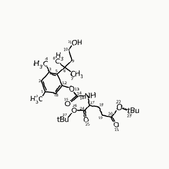 Cc1cc(C)c(C(C)(C)CCO)c(OC(=O)NC(CCC(=O)OC(C)(C)C)C(=O)OC(C)(C)C)c1